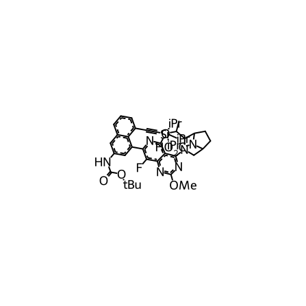 COc1nc2c3c(nc(-c4cc(NC(=O)OC(C)(C)C)cc5cccc(C#C[Si](C(C)C)(C(C)C)C(C)C)c45)c(F)c3n1)OC(C)C1C3CCC(CN21)N3C(=O)O